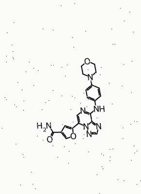 NC(=O)c1coc(-c2cnc(Nc3ccc(N4CCOCC4)cc3)c3ncnn23)c1